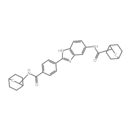 O=C(NC1CC2CCC1CC2)c1ccc(-c2nc3cc(NC(=O)C4CC5CCC4CC5)ccc3[nH]2)cc1